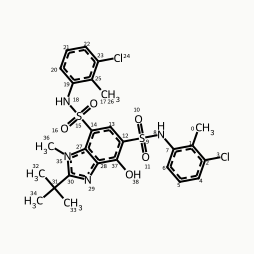 Cc1c(Cl)cccc1NS(=O)(=O)c1cc(S(=O)(=O)Nc2cccc(Cl)c2C)c2c(nc(C(C)(C)C)n2C)c1O